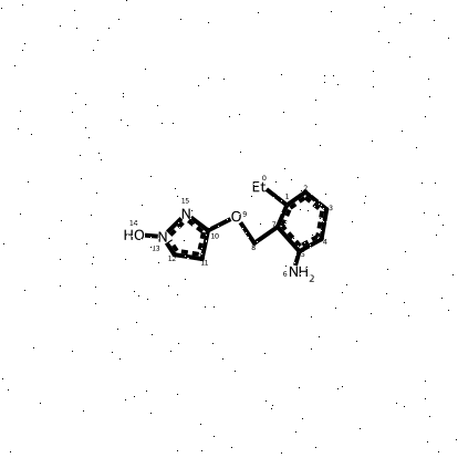 CCc1cccc(N)c1COc1ccn(O)n1